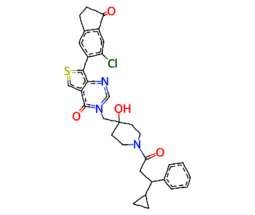 O=C1CCc2cc(-c3scc4c(=O)n(CC5(O)CCN(C(=O)CC(c6ccccc6)C6CC6)CC5)cnc34)c(Cl)cc21